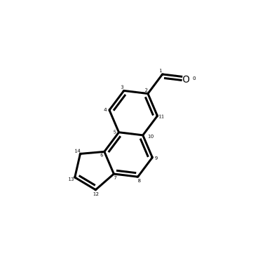 O=Cc1ccc2c3c(ccc2c1)C=CC3